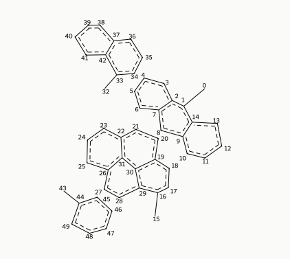 Cc1c2ccccc2cc2ccccc12.Cc1ccc2ccc3cccc4ccc1c2c34.Cc1cccc2ccccc12.Cc1ccccc1